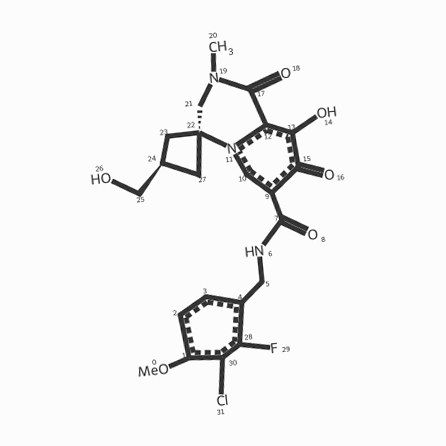 COc1ccc(CNC(=O)c2cn3c(c(O)c2=O)C(=O)N(C)C[C@]32C[C@H](CO)C2)c(F)c1Cl